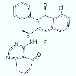 C[C@H](Nc1ncnc2c1C(=O)C=CC2)c1c(F)c2cccc(Cl)c2c(=O)n1-c1ccccc1